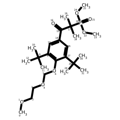 COCCOCOc1c(C(C)(C)C)cc(C(=O)C(C)(C)P(=O)(OC)OC)cc1C(C)(C)C